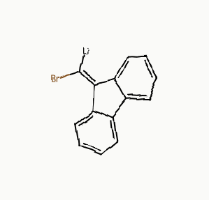 [Li][C](Br)=C1c2ccccc2-c2ccccc21